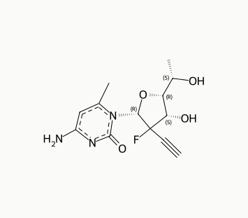 C#CC1(F)[C@@H](O)[C@@H]([C@H](C)O)O[C@H]1n1c(C)cc(N)nc1=O